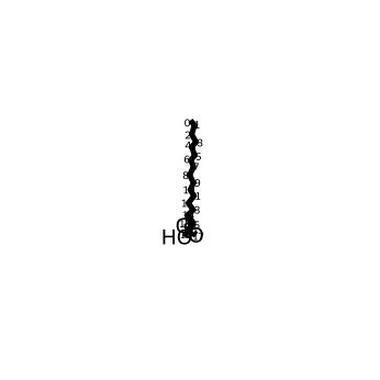 CCCCCCCCCCCCCCC=CS(=O)(=O)O